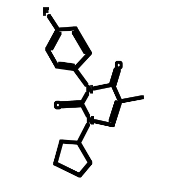 Cc1cn(C2CCCC2)c(=O)n(-c2ccc(F)cc2)c1=O